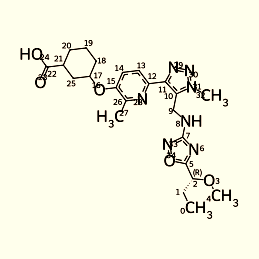 CC[C@@H](OC)c1nc(NCc2c(-c3ccc(OC4CCCC(C(=O)O)C4)c(C)n3)nnn2C)no1